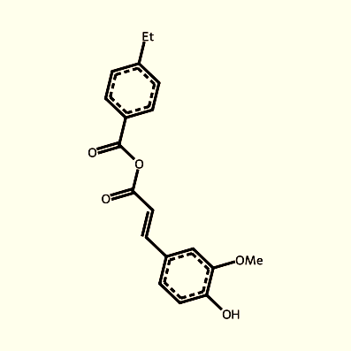 CCc1ccc(C(=O)OC(=O)C=Cc2ccc(O)c(OC)c2)cc1